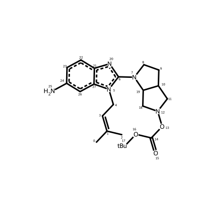 CC(C)=CCn1c(N2CCC3CN(OC(=O)OC(C)(C)C)CC32)nc2ccc(N)cc21